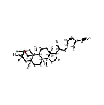 COC[C@]12CC[C@@](C)(O)C[C@H]1CC[C@H]1[C@@H]3CC[C@H](C(=O)Cn4ccc(C#N)n4)[C@@]3(C)CC[C@@H]12